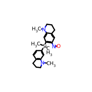 CN1CCCc2ccc([Si](C)(C)c3cc4c(cc3N=O)CCCN4C)cc21